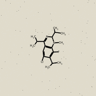 CC(C)C1=NC(C(C)C)N(C)c2c1cc(Cl)c(C(C)C)c2F